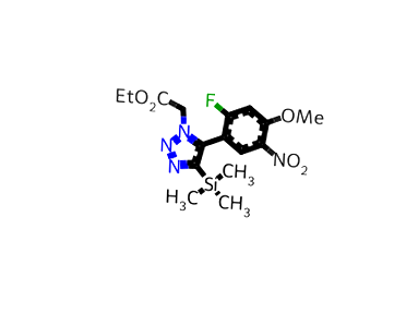 CCOC(=O)Cn1nnc([Si](C)(C)C)c1-c1cc([N+](=O)[O-])c(OC)cc1F